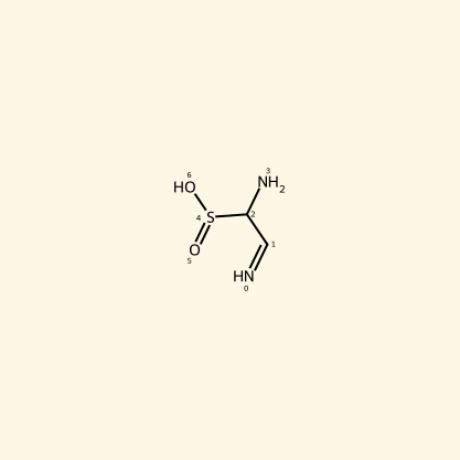 N=CC(N)S(=O)O